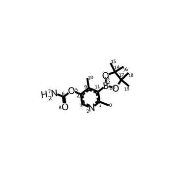 Cc1ncc(OC(N)=O)c(C)c1B1OC(C)(C)C(C)(C)O1